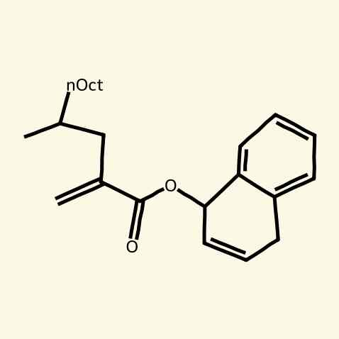 C=C(CC(C)CCCCCCCC)C(=O)OC1C=CCc2ccccc21